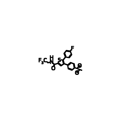 CS(=O)(=O)c1ccc(-c2cc(C(=O)NCC(F)(F)F)sc2-c2ccc(F)cc2)cc1